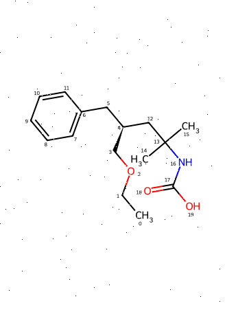 CCOC[C@@H](Cc1ccccc1)CC(C)(C)NC(=O)O